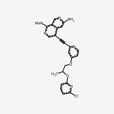 CNc1ncc(C#Cc2cc(OCC(C)Oc3cccc(Cl)n3)ccn2)c2cc(N)ncc12